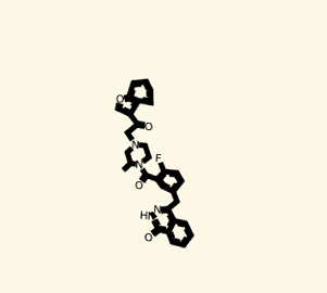 CC1CN(CC(=O)c2coc3ccccc23)CCN1C(=O)c1cc(Cc2n[nH]c(=O)c3ccccc23)ccc1F